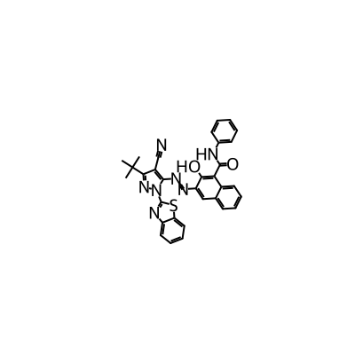 CC(C)(C)c1nn(-c2nc3ccccc3s2)c(/N=N/c2cc3ccccc3c(C(=O)Nc3ccccc3)c2O)c1C#N